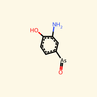 Nc1cc([As]=O)ccc1O